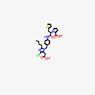 CCCCc1nc(Cl)c(CC(=O)O)n1Cc1ccc(NC(=O)C(Cc2cccs2)n2cccc2C(=O)O)cc1